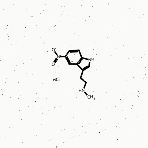 CNCCc1c[nH]c2ccc([N+](=O)[O-])cc12.Cl